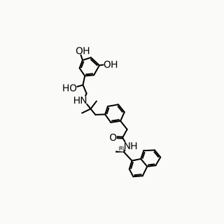 C[C@@H](NC(=O)Cc1cccc(CC(C)(C)NCC(O)c2cc(O)cc(O)c2)c1)c1cccc2ccccc12